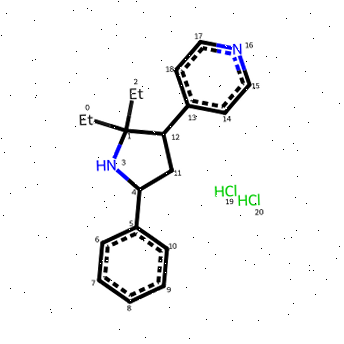 CCC1(CC)NC(c2ccccc2)CC1c1ccncc1.Cl.Cl